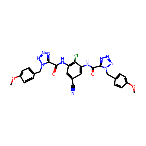 COc1ccc(Cn2nnnc2C(=O)Nc2cc(C#N)cc(NC(=O)c3nnnn3Cc3ccc(OC)cc3)c2Cl)cc1